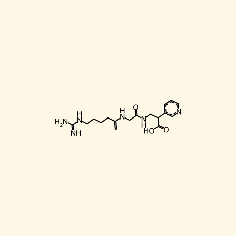 C=C(CCCCNC(=N)N)NCC(=O)NCC(C(=O)O)c1cccnc1